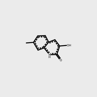 Cc1ccc2cc(O)c(=O)[nH]c2c1